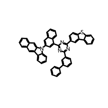 c1ccc(-c2cccc(-c3nc(-c4ccc5sc6ccccc6c5c4)nc(-c4cc(-n5c6ccccc6c6cc7ccccc7cc65)cc5ccccc45)n3)c2)cc1